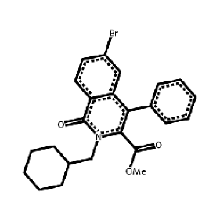 COC(=O)c1c(-c2ccccc2)c2cc(Br)ccc2c(=O)n1CC1CCCCC1